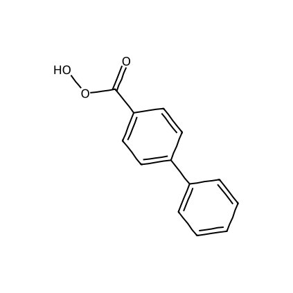 O=C(OO)c1ccc(-c2ccccc2)cc1